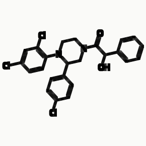 O=C(C(O)c1ccccc1)N1CCN(c2ccc(Cl)cc2Cl)C(c2ccc(Cl)cc2)C1